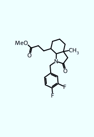 COC(=O)CCC1CCCC2(C)CC(=O)N(Cc3ccc(F)c(F)c3)C12